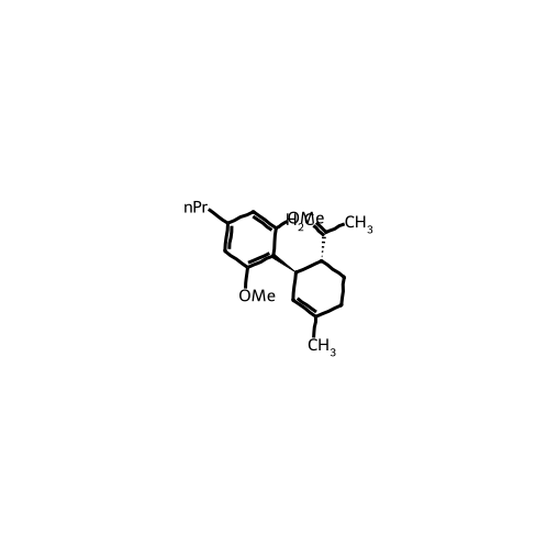 C=C(C)[C@@H]1CCC(C)=C[C@H]1c1c(OC)cc(CCC)cc1OC